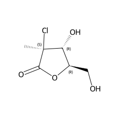 C[C@@]1(Cl)C(=O)O[C@H](CO)[C@H]1O